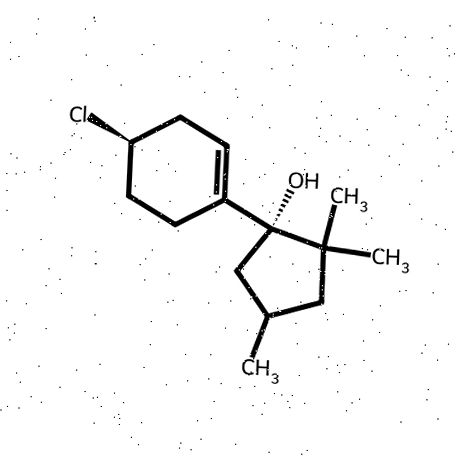 CC1CC(C)(C)[C@](O)(C2=CC[C@H](Cl)CC2)C1